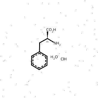 Cl.N[C@@H](Cc1ccccc1)C(=O)O.O